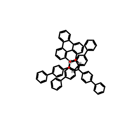 c1ccc(-c2ccc(-c3nc(-c4ccc(-c5ccccc5)cc4)nc(-c4cccc5c6ccccc6c6cccc(-n7c8cc(-c9ccccc9)ccc8c8ccc(-c9ccccc9)cc87)c6c45)n3)cc2)cc1